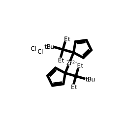 CCC(CC)(C(C)(C)C)[C]1([Zr+2][C]2(C(CC)(CC)C(C)(C)C)C=CC=C2)C=CC=C1.[Cl-].[Cl-]